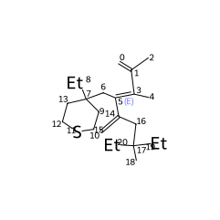 C=C(C)/C(C)=C(\CC1(CC)CCSCC1)C(=C)CC(C)(CC)CC